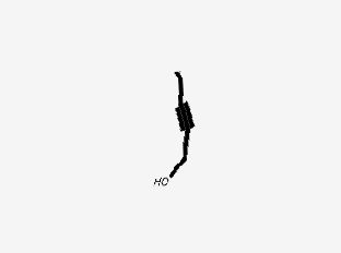 [CH2]C#CCO